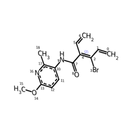 C=C/C(Br)=C(\C=C)C(=O)Nc1ccc(OC)nc1C